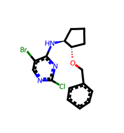 Clc1ncc(Br)c(N[C@H]2CCC[C@@H]2OCc2ccccc2)n1